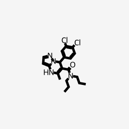 CCCN(CCC)C(=O)C1=C(C)Nc2ccnn2C1c1ccc(Cl)c(Cl)c1